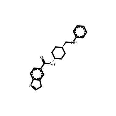 O=C(N[C@H]1CC[C@H](CNc2ccccc2)CC1)c1ccc2c(c1)CC=N2